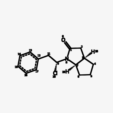 O=C1C[C@H]2CCC[C@H]2N1[C@H](Cl)Cc1ccccc1